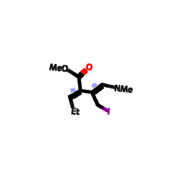 CC/C=C(C(=O)OC)\C(=C\NC)CI